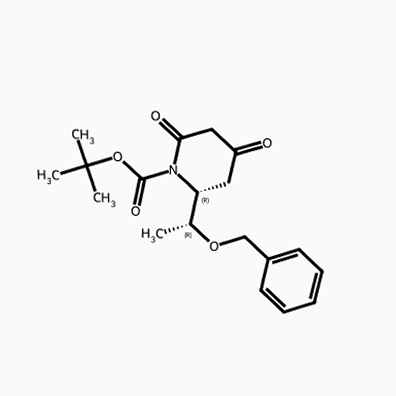 C[C@@H](OCc1ccccc1)[C@H]1CC(=O)CC(=O)N1C(=O)OC(C)(C)C